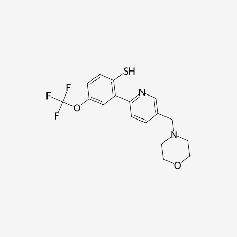 FC(F)(F)Oc1ccc(S)c(-c2ccc(CN3CCOCC3)cn2)c1